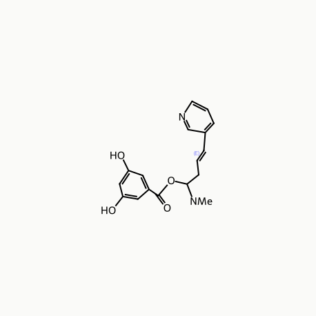 CNC(C/C=C/c1cccnc1)OC(=O)c1cc(O)cc(O)c1